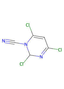 N#CN1C(Cl)=CC(Cl)=NC1Cl